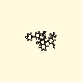 C=Cc1cc(-c2nn(-c3cc(N4CCOCC4)ccc3[N+](=O)[O-])c(=O)c3ccccc23)cc(C(F)(F)F)c1